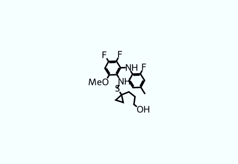 COc1cc(F)c(F)c(Nc2ccc(C)cc2F)c1NSC1(CCCO)CC1